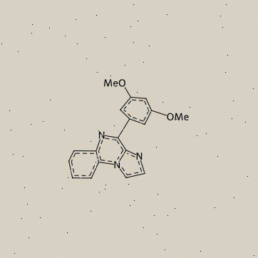 COc1cc(OC)cc(-c2nc3ccccc3n3ccnc23)c1